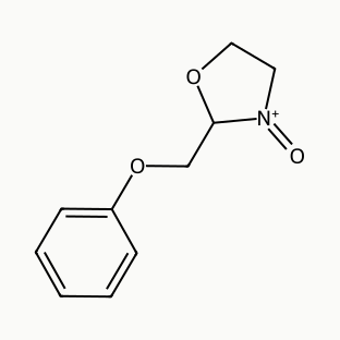 O=[N+]1CCOC1COc1ccccc1